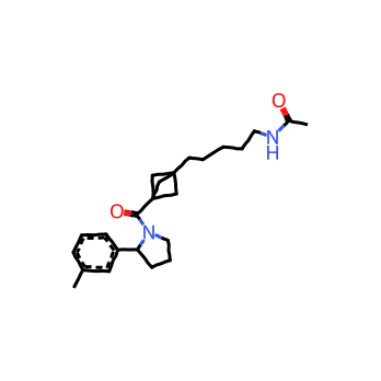 CC(=O)NCCCCCC12CC(C(=O)N3CCCC3c3cccc(C)c3)(C1)C2